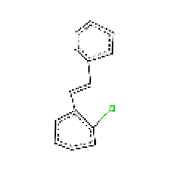 Clc1ccccc1C=Cc1cc[c]cc1